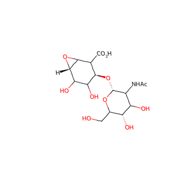 CC(=O)NC1C(O)[C@H](O)C(CO)O[C@@H]1O[C@H]1C(O)C(O)[C@@H]2OC2C1C(=O)O